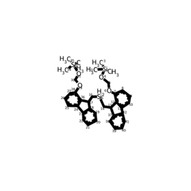 C[Si](C)(C)OCOc1cccc2c1C(C[SiH2]CC1c3ccccc3-c3cccc(OCO[Si](C)(C)C)c31)c1ccccc1-2